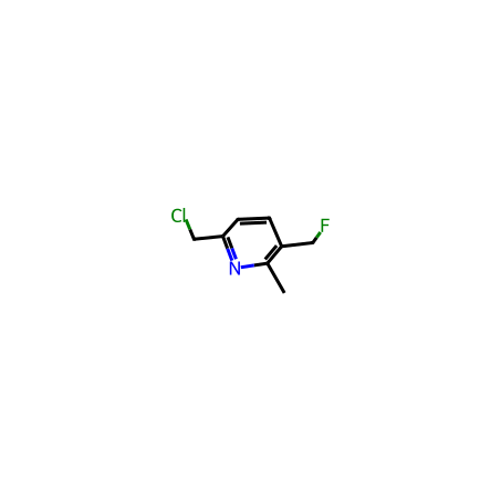 Cc1nc(CCl)ccc1CF